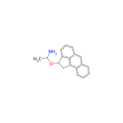 CC(N)OC1Cc2c3ccccc3cc3cccc1c23